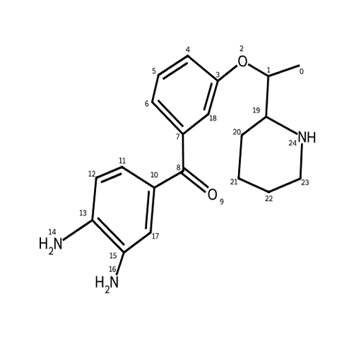 CC(Oc1cccc(C(=O)c2ccc(N)c(N)c2)c1)C1CCCCN1